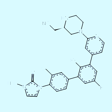 Cn1ccn(-c2ccc(-c3cc(F)cc(-c4ccnc(N5CCN[C@H](CC#N)C5)c4)c3O)cc2Cl)c1=O